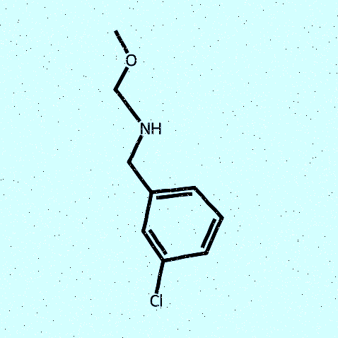 COCNCc1cccc(Cl)c1